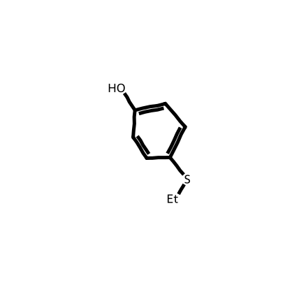 CCSc1ccc(O)cc1